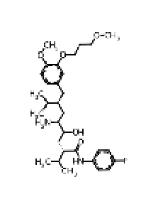 COCCCOc1cc(C[C@@H](C[C@H](N)[C@@H](O)C[C@H](C(=O)Nc2ccc(F)cc2)C(C)C)C(C)C)ccc1OC